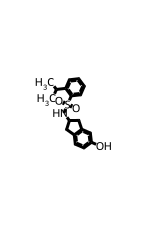 CC(C)c1ccccc1S(=O)(=O)NC1Cc2ccc(O)cc2C1